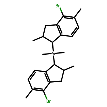 Cc1ccc2c(c1Br)CC(C)C2[Si](C)(C)C1c2ccc(C)c(Br)c2CC1C